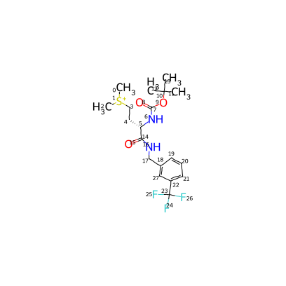 C[S+](C)CC[C@H](NC(=O)OC(C)(C)C)C(=O)NCc1cccc(C(F)(F)F)c1